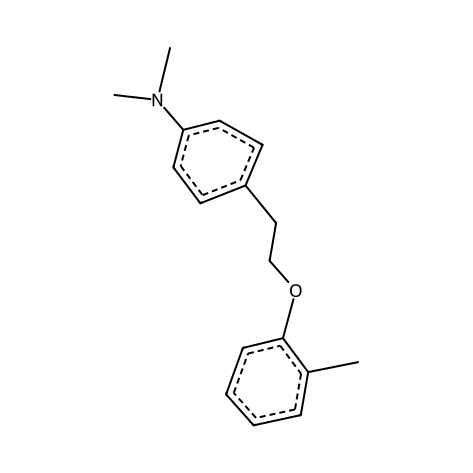 Cc1ccccc1OCCc1ccc(N(C)C)cc1